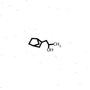 CC(O)CC1CC2CCC1C2